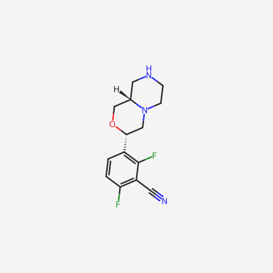 N#Cc1c(F)ccc([C@H]2CN3CCNC[C@H]3CO2)c1F